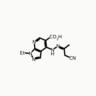 CCn1ncc2c(NN=C(C)CC#N)c(C(=O)O)cnc21